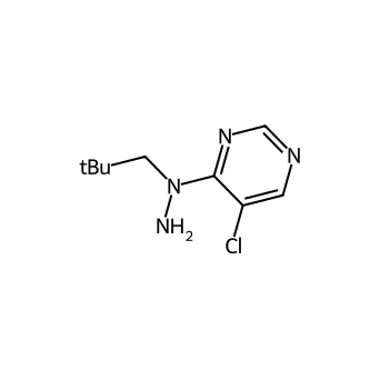 CC(C)(C)CN(N)c1ncncc1Cl